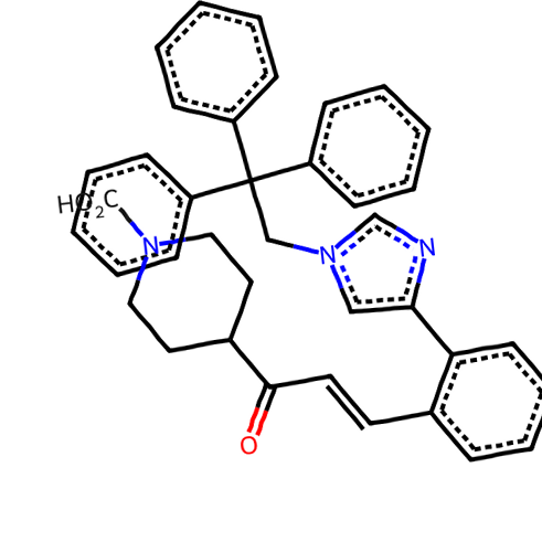 O=C(/C=C/c1ccccc1-c1cn(CC(c2ccccc2)(c2ccccc2)c2ccccc2)cn1)C1CCN(C(=O)O)CC1